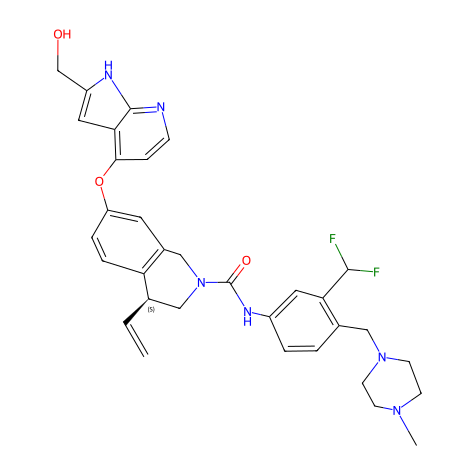 C=C[C@@H]1CN(C(=O)Nc2ccc(CN3CCN(C)CC3)c(C(F)F)c2)Cc2cc(Oc3ccnc4[nH]c(CO)cc34)ccc21